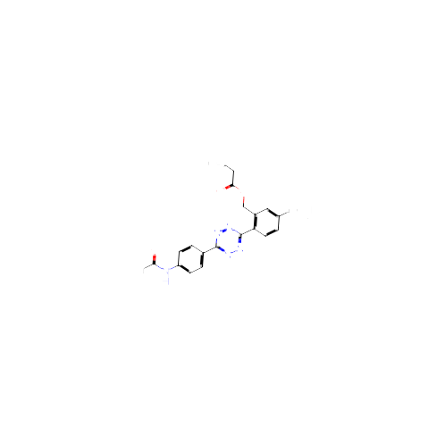 CC(C)(C)CC(=O)OCc1cc(C(=O)O)ccc1-c1nnc(-c2ccc(NC(=O)C(C)(C)C)cc2)nn1